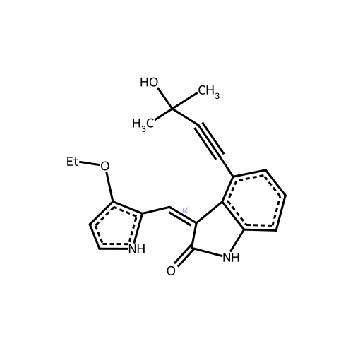 CCOc1cc[nH]c1/C=C1\C(=O)Nc2cccc(C#CC(C)(C)O)c21